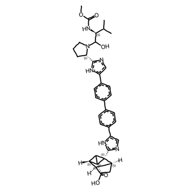 COC(=O)N[C@@H](C(C)C)C(O)N1CCC[C@H]1c1ncc(-c2ccc(-c3ccc(-c4cnc([C@]56C7[C@H]8[C@H](C(=O)O)[C@@H]5CC[C@@]786)[nH]4)cc3)cc2)[nH]1